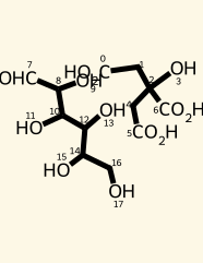 O=C(O)CC(O)(CC(=O)O)C(=O)O.O=CC(O)C(O)C(O)C(O)CO